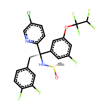 CC(C)(C)[S+]([O-])N[C@](Cc1ccc(F)c(F)c1)(c1cc(F)cc(OC(F)(F)C(F)F)c1)c1ccc(Cl)cn1